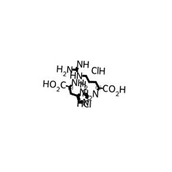 Cl.Cl.N=C(N)NCCC[C@H](N)C(=O)O.N[C@@H](Cc1cnc[nH]1)C(=O)O